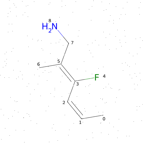 C/C=C\C(F)=C(/C)CN